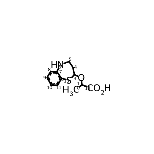 CC(OC1CCNc2ccccc2S1)C(=O)O